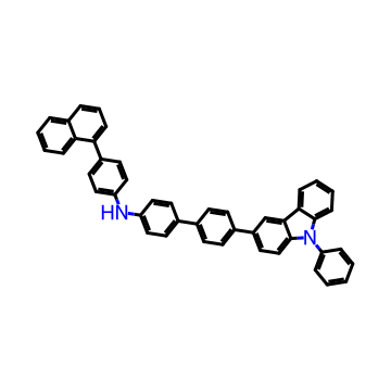 c1ccc(-n2c3ccccc3c3cc(-c4ccc(-c5ccc(Nc6ccc(-c7cccc8ccccc78)cc6)cc5)cc4)ccc32)cc1